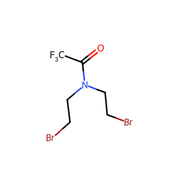 O=C(N(CCBr)CCBr)C(F)(F)F